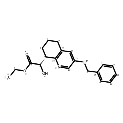 CCOC(=O)C(O)[C@@H]1CCCc2cc(OCc3ccccc3)cnc21